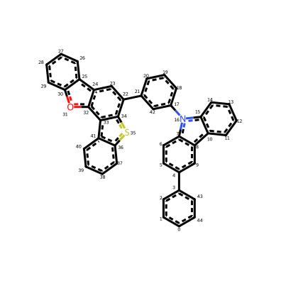 c1ccc(-c2ccc3c(c2)c2ccccc2n3-c2cccc(-c3cc4c5ccccc5oc4c4c3sc3ccccc34)c2)cc1